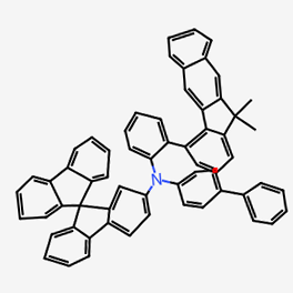 CC1(C)c2cc3ccccc3cc2-c2c(-c3ccccc3N(c3ccc(-c4ccccc4)cc3)c3ccc4c(c3)C3(c5ccccc5-c5ccccc53)c3ccccc3-4)cccc21